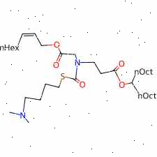 CCCCCC/C=C\COC(=O)CN(CCC(=O)OC(CCCCCCCC)CCCCCCCC)C(=O)SCCCCN(C)C